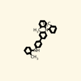 Cc1ccccc1Nc1ccc(-c2ccc(N(c3ccccc3C)c3ccccc3C)cc2)cc1